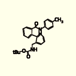 Cc1ccc(NC(=O)c2ccccc2-c2ccccc2CNC(=O)OC(C)(C)C)cc1